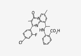 Cc1cc(C(C)Nc2ccccc2C(=O)O)c2nc(-c3ccc(Cl)cc3F)c(C)c(=O)n2c1